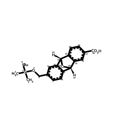 CC(C)(C)[Si](C)(C)OCc1ccc2c(c1)[C@H]1O[C@@H]2c2cc(C(=O)O)ccc21